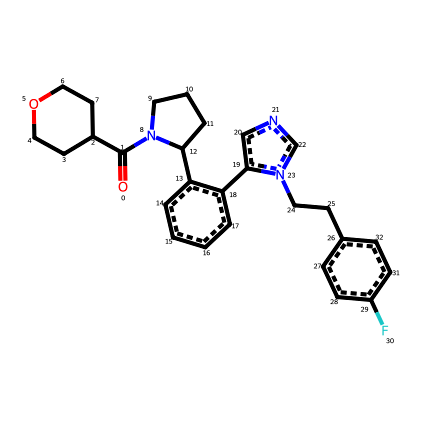 O=C(C1CCOCC1)N1CCCC1c1ccccc1-c1cncn1CCc1ccc(F)cc1